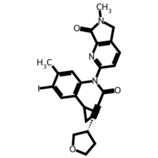 Cc1cc(N(C(=O)C#C[C@@H]2CCOC2)c2ccc3c(n2)C(=O)N(C)C3)c(C2CC2)cc1I